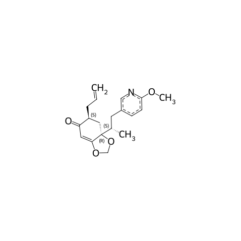 C=CC[C@H]1C[C@]2([C@@H](C)Cc3ccc(OC)nc3)OCOC2=CC1=O